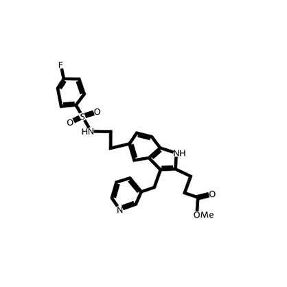 COC(=O)CCc1[nH]c2ccc(CCNS(=O)(=O)c3ccc(F)cc3)cc2c1Cc1cccnc1